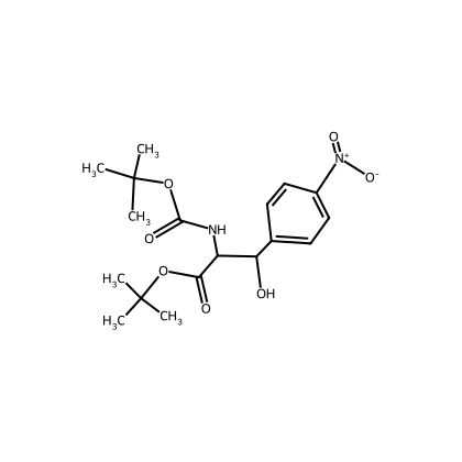 CC(C)(C)OC(=O)NC(C(=O)OC(C)(C)C)C(O)c1ccc([N+](=O)[O-])cc1